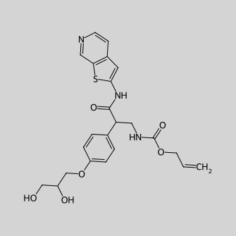 C=CCOC(=O)NCC(C(=O)Nc1cc2ccncc2s1)c1ccc(OCC(O)CO)cc1